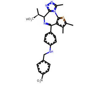 Cc1sc2c(c1C)C(c1ccc(NCc3ccc([N+](=O)[O-])cc3)cc1)=NC([C@H](C)C(=O)O)c1nnc(C)n1-2